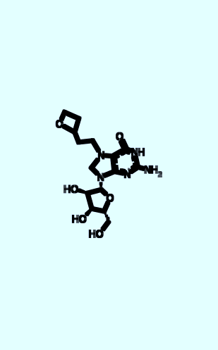 Nc1nc2c(c(=O)[nH]1)N(CCC1CCO1)CN2[C@@H]1O[C@H](CO)[C@@H](O)[C@H]1O